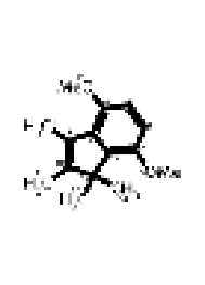 COc1ccc(OC)c2c1C(C)=C(C)C2(C)C